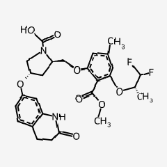 COC(=O)c1c(OC[C@H]2C[C@H](Oc3ccc4c(c3)NC(=O)CC4)CN2C(=O)O)cc(C)cc1O[C@@H](C)C(F)F